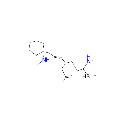 C=C(C)CC(/C=C/CC1(NC)CCCCC1)CCC(BC)NC